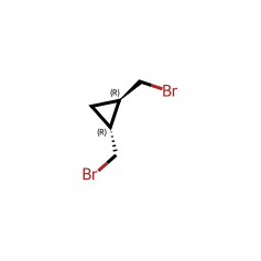 BrC[C@@H]1C[C@H]1CBr